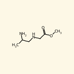 COC(=O)CNCC(C)N